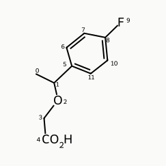 CC(OCC(=O)O)c1ccc(F)cc1